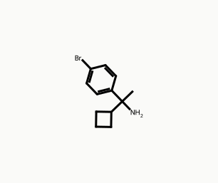 CC(N)(c1ccc(Br)cc1)C1CCC1